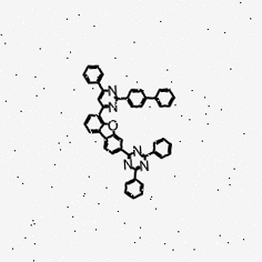 c1ccc(-c2ccc(-c3nc(-c4ccccc4)cc(-c4cccc5c4oc4cc(-c6nc(-c7ccccc7)nc(-c7ccccc7)n6)ccc45)n3)cc2)cc1